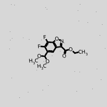 CCOC(=O)c1noc2c(F)c(F)c(C(OC)OC)cc12